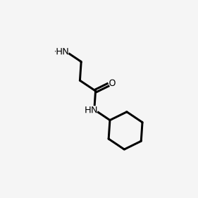 [NH]CCC(=O)NC1CCCCC1